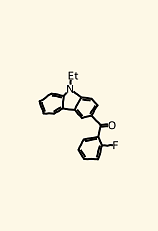 CCn1c2ccccc2c2cc(C(=O)c3ccccc3F)ccc21